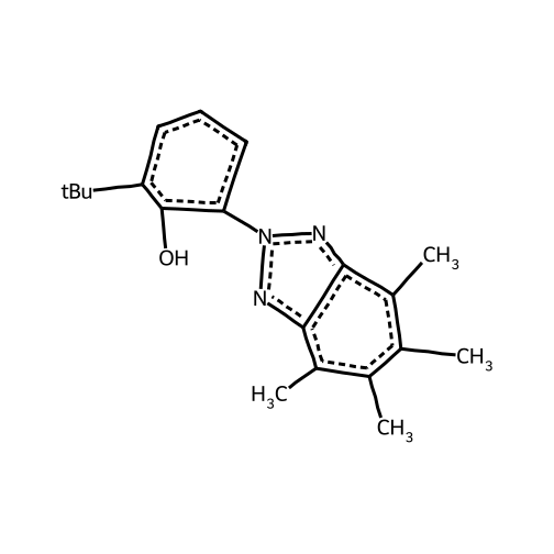 Cc1c(C)c(C)c2nn(-c3cccc(C(C)(C)C)c3O)nc2c1C